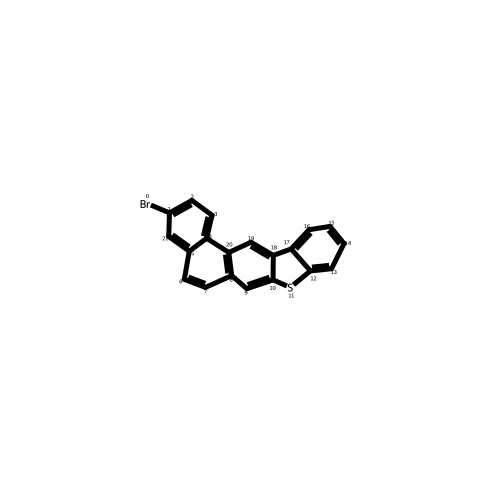 Brc1ccc2c(ccc3cc4sc5ccccc5c4cc32)c1